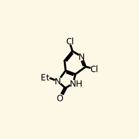 CCn1c(=O)[nH]c2c(Cl)nc(Cl)cc21